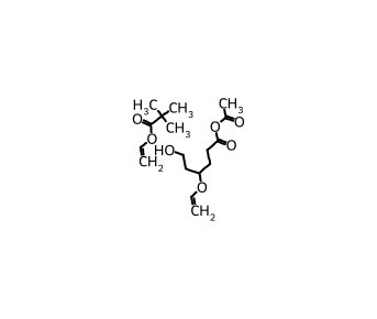 C=COC(=O)C(C)(C)C.C=COC(CCO)CCC(=O)OC(C)=O